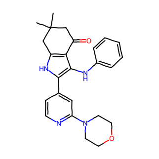 CC1(C)CC(=O)c2c([nH]c(-c3ccnc(N4CCOCC4)c3)c2Nc2ccccc2)C1